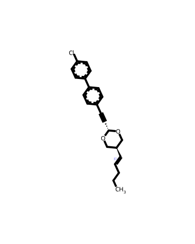 CCC/C=C/[C@H]1CO[C@H](C#Cc2ccc(-c3ccc(Cl)cc3)cc2)OC1